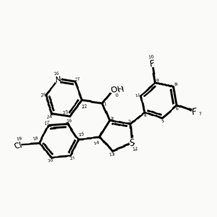 OC(C1=C(c2cc(F)cc(F)c2)SCC1c1ccc(Cl)cc1)c1cccnc1